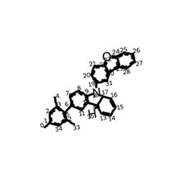 Cc1cc(C)c(-c2ccc3c(c2)[C@H]2C=CC=CC2N3c2ccc3oc4ccccc4c3c2)c(C)c1